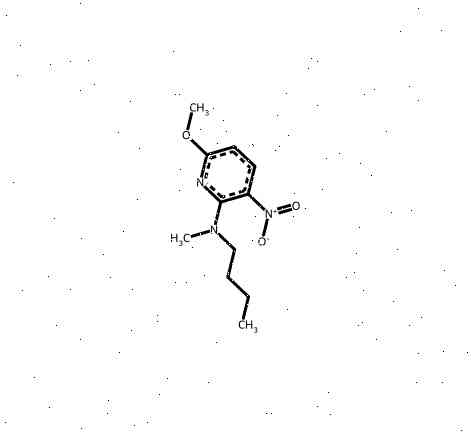 CCCCN(C)c1nc(OC)ccc1[N+](=O)[O-]